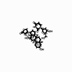 C[C@]12CC[C@H](O)C[C@H]1CC[C@@H]1[C@@H]2C[C@@H](O)[C@]2(C)[C@@H](C3=CC(=O)OC3)CC[C@]12O.O=c1ccn(C2C[C@H](O)[C@@H](CO)O2)c(=O)[nH]1